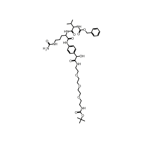 CC(C)C(NC(=O)OCc1ccccc1)C(=O)NC(CCCNC(N)=O)C(=O)Nc1ccc(C(O)C(=O)NCCOCCOCCOCCNC(=O)OC(C)(C)C)cc1